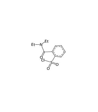 CCN(CC)C(=O)c1ccccc1S(=O)(=O)Cl